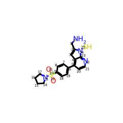 NCc1cc2c(-c3ccc(S(=O)(=O)N4CCCC4)cc3)ccnc2n1S